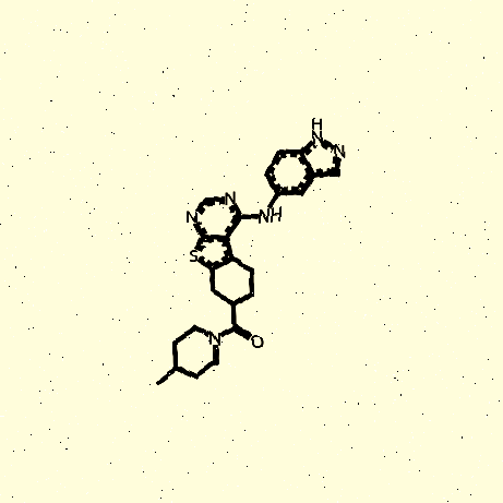 CC1CCN(C(=O)C2CCc3c(sc4ncnc(Nc5ccc6[nH]ncc6c5)c34)C2)CC1